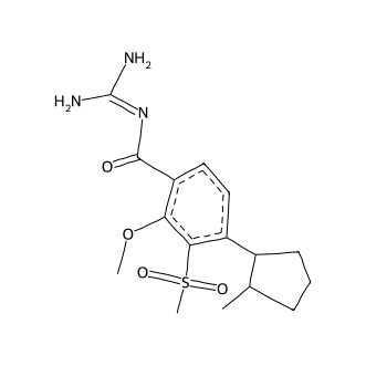 COc1c(C(=O)N=C(N)N)ccc(C2CCCC2C)c1S(C)(=O)=O